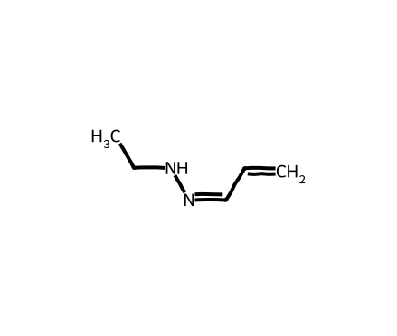 C=C/C=N\NCC